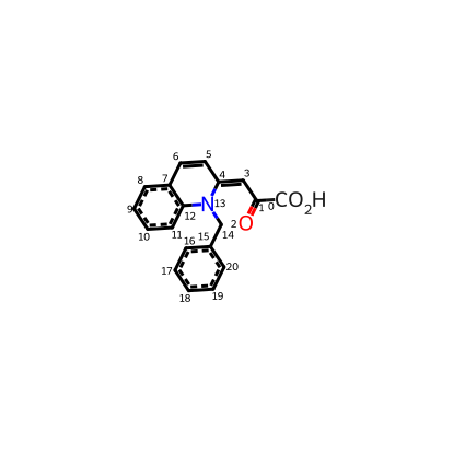 O=C(O)C(=O)C=C1C=Cc2ccccc2N1Cc1ccccc1